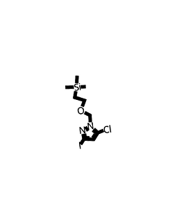 C[Si](C)(C)CCOCn1nc(I)cc1Cl